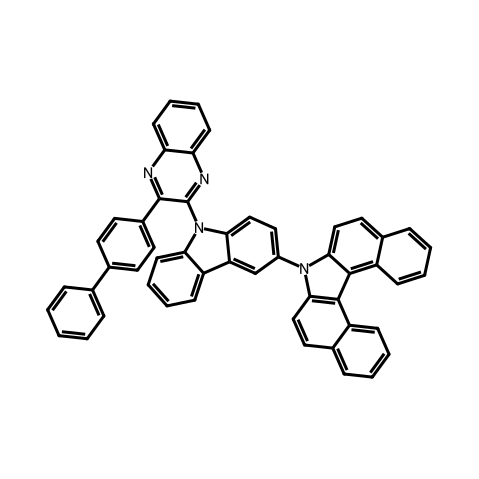 c1ccc(-c2ccc(-c3nc4ccccc4nc3-n3c4ccccc4c4cc(-n5c6ccc7ccccc7c6c6c7ccccc7ccc65)ccc43)cc2)cc1